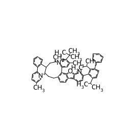 C=C1CC2c3ccccc3-c3ccc(C)c[n+]3C2CCc2ccc3c(oc4nc(-c5c(C(C)C)ccc(-c6ccccc6)c5C(C)C)ccc43)c2-c2cc(C)c(C(C)(C)C)c[n+]21